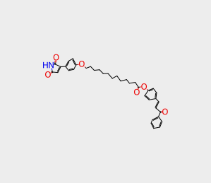 O=C1C=C(c2ccc(OCCCCCCCCCCCCC(=O)Oc3ccc(C=CC(=O)c4ccccc4)cc3)cc2)C(=O)N1